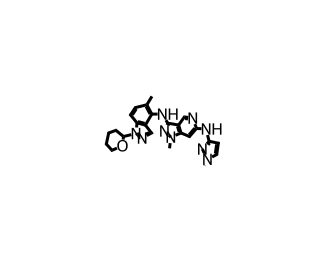 Cc1ccc2c(cnn2C2CCCCO2)c1Nc1nn(C)c2cc(Nc3ccn(C)n3)ncc12